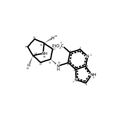 CCOC(=O)c1cnc2[nH]cnc2c1N[C@@H]1C[C@H]2CC[C@@H](C1)N2